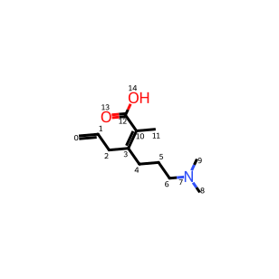 C=CCC(CCCN(C)C)=C(C)C(=O)O